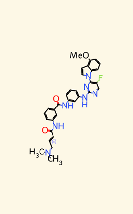 COc1cccc2c1ccn2-c1nc(Nc2cccc(NC(=O)c3cccc(NC(=O)/C=C/CN(C)C)c3)c2)ncc1F